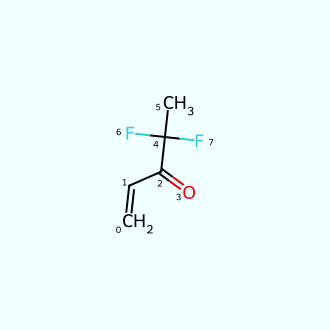 C=CC(=O)C(C)(F)F